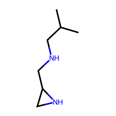 CC(C)CNCC1CN1